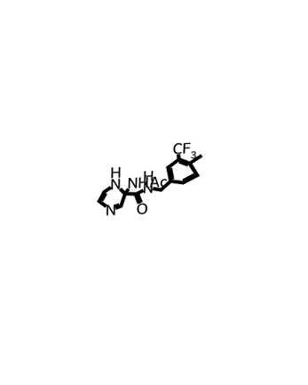 CC(=O)NC1(C(=O)NCc2ccc(C)c(C(F)(F)F)c2)C=NC=CN1